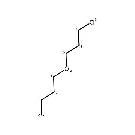 [CH2]CCCOCCCCl